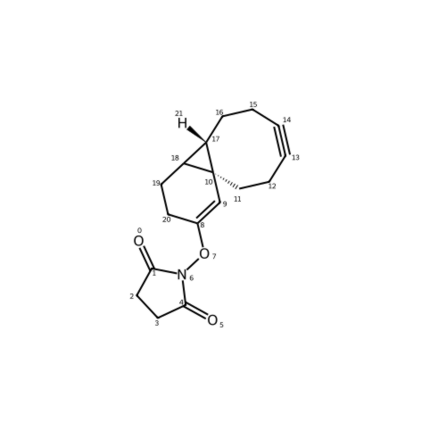 O=C1CCC(=O)N1OC1=C[C@]23CCC#CCC[C@H]2C3CC1